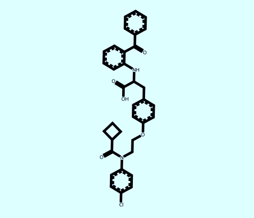 O=C(c1ccccc1)c1ccccc1NC(Cc1ccc(OCCN(C(=O)C2CCC2)c2ccc(Cl)cc2)cc1)C(=O)O